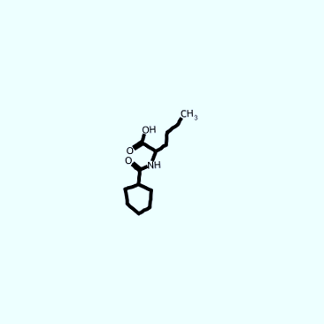 CCCCC(NC(=O)C1CCCCC1)C(=O)O